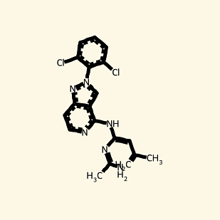 C=C(C)/C=C(\N=C(\C)N)Nc1nccc2nn(-c3c(Cl)cccc3Cl)cc12